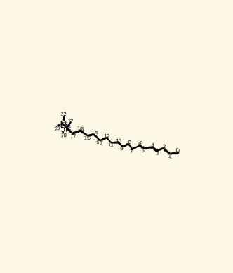 CCCCCCCCCCCCCCCCCC[Si](C)(C)N(C)C